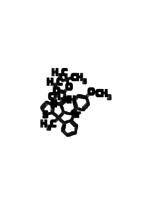 C/N=C(\NC(=O)OC(C)(C)C)C(Cc1ccc(OC)cc1)C(C)(c1cccs1)c1ccccc1Br